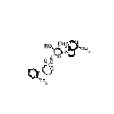 C[C@H]1[C@H](O)[C@@H](COP2(=O)OCC[C@H](c3ccccc3C(F)(F)F)O2)O[C@H]1n1ccc2c(N)ncnc21